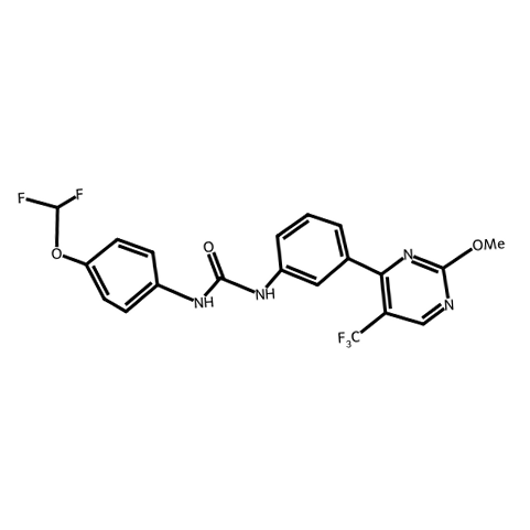 COc1ncc(C(F)(F)F)c(-c2cccc(NC(=O)Nc3ccc(OC(F)F)cc3)c2)n1